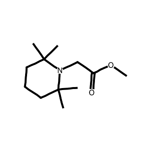 COC(=O)CN1C(C)(C)CCCC1(C)C